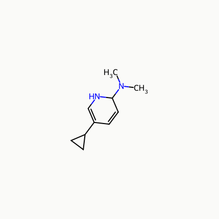 CN(C)C1C=CC(C2CC2)=CN1